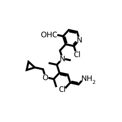 CC(OCC1CC1)/C(=C\C(Cl)=C/N)C(C)N(C)Cc1c(C=O)ccnc1Cl